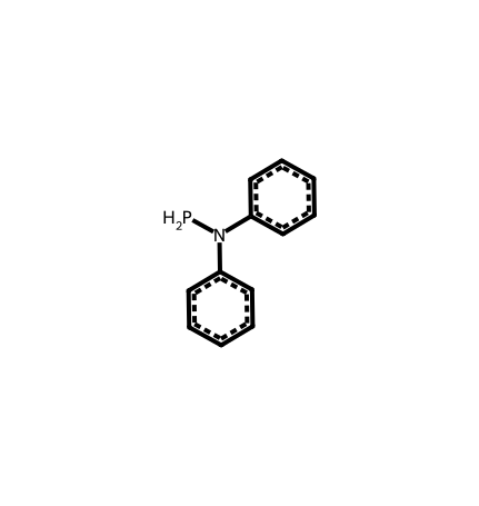 PN(c1ccccc1)c1ccccc1